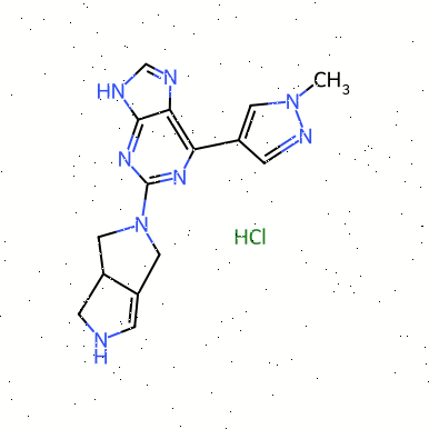 Cl.Cn1cc(-c2nc(N3CC4=CNCC4C3)nc3[nH]cnc23)cn1